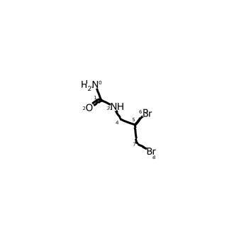 NC(=O)NCC(Br)CBr